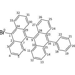 Brc1c2ccccc2c(-c2c3ccccc3c(-c3ccccc3)c3ccccc23)c2ccccc12